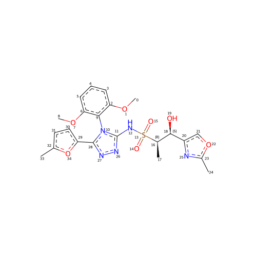 COc1cccc(OC)c1-n1c(NS(=O)(=O)[C@H](C)[C@@H](O)c2coc(C)n2)nnc1-c1ccc(C)o1